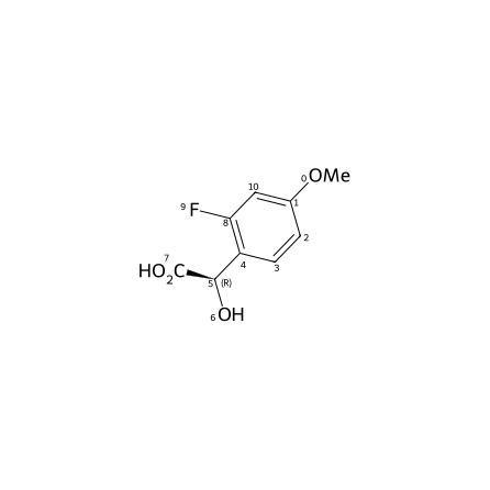 COc1ccc([C@@H](O)C(=O)O)c(F)c1